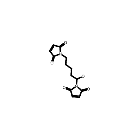 [O]C(CCCCN1C(=O)C=CC1=O)N1C(=O)C=CC1=O